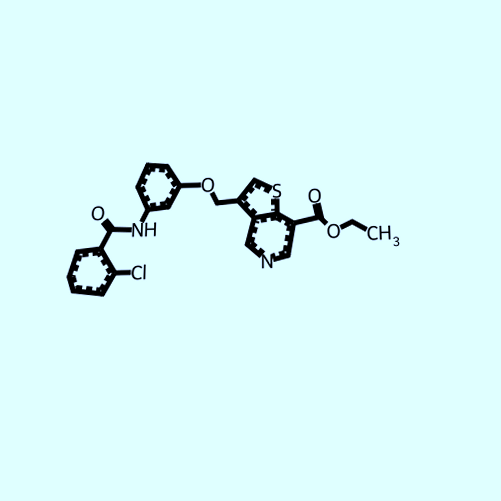 CCOC(=O)c1cncc2c(COc3cccc(NC(=O)c4ccccc4Cl)c3)csc12